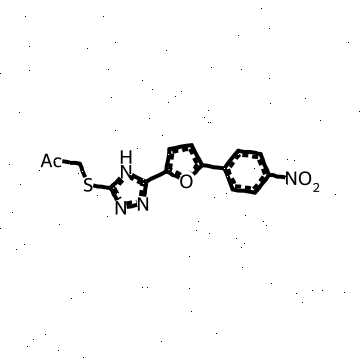 CC(=O)CSc1nnc(-c2ccc(-c3ccc([N+](=O)[O-])cc3)o2)[nH]1